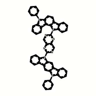 c1ccc(-n2c3ccccc3c3cc4c(cc32)c2ccccc2n4-c2ncc3nc(-n4c5ccccc5c5ccc6c(c7ccccc7n6-c6ccccc6)c54)ncc3n2)cc1